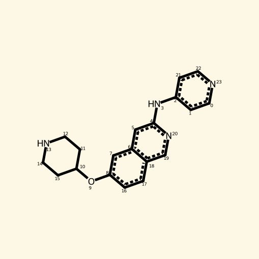 c1cc(Nc2cc3cc(OC4CCNCC4)ccc3cn2)ccn1